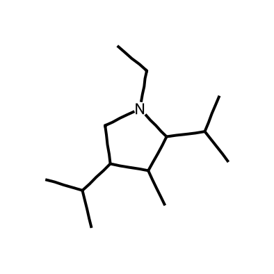 CCN1CC(C(C)C)C(C)C1C(C)C